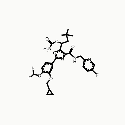 CC(C)(C)CC(OC(N)=O)c1oc(-c2ccc(OC(F)F)c(OCC3CC3)c2)nc1C(=O)NCc1ccc(F)cn1